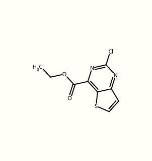 CCOC(=O)c1nc(Cl)nc2ccsc12